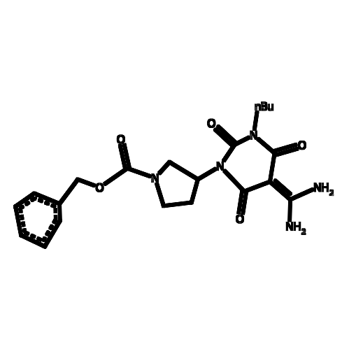 CCCCN1C(=O)C(=C(N)N)C(=O)N(C2CCN(C(=O)OCc3ccccc3)C2)C1=O